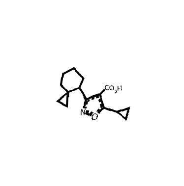 O=C(O)c1c(C2CCCCC23CC3)noc1C1CC1